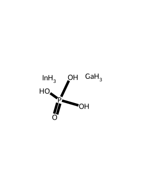 O=P(O)(O)O.[GaH3].[InH3]